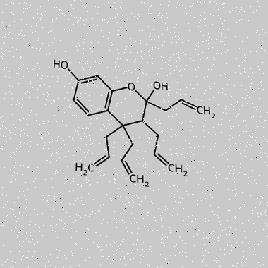 C=CCC1C(O)(CC=C)Oc2cc(O)ccc2C1(CC=C)CC=C